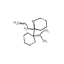 C=C[SiH2]C1(C2([SiH](C)C)CCCCO2)CCCCO1